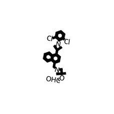 CC1(OC=O)CN(Cc2ccc(C3CN(c4c(Cl)cccc4Cl)C3)c3ccccc23)C1